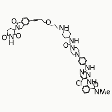 CNC(=O)c1ccccc1Nc1nc(Nc2ccc(N3CCN(C(=O)NC4CCC(NCCCOCCC#Cc5ccc6c(c5)CN(C5CCC(=O)NC5=O)C6=O)CC4)CC3)cc2)ncc1Cl